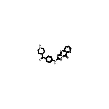 O=C(c1ccc(Nc2nn3c(=O)c4ncccc4nc3s2)cc1)N1CCNCC1